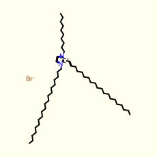 CCCCCCCCCCCCCCCCCCC=C[c+]1n(CCCCCCCCCC)ccn1CCCCCCCCCCCCCCCCCCCC.[Br-]